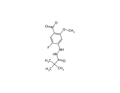 COc1cc(NNC(=O)C(C)(C)C)c(F)cc1[N+](=O)[O-]